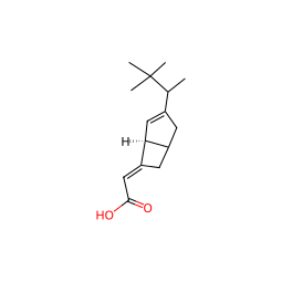 CC(C1=C[C@@H]2C(=CC(=O)O)CC2C1)C(C)(C)C